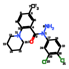 NN(C(=O)c1cc(C(F)(F)F)ccc1N1CCCCC1)c1ccc(Cl)c(Cl)c1